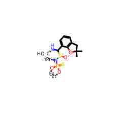 CCCN([S+]([O-])C(NC(=O)O)c1cccc2c1OC(C)(C)C2)P(=S)(OCC)OCC